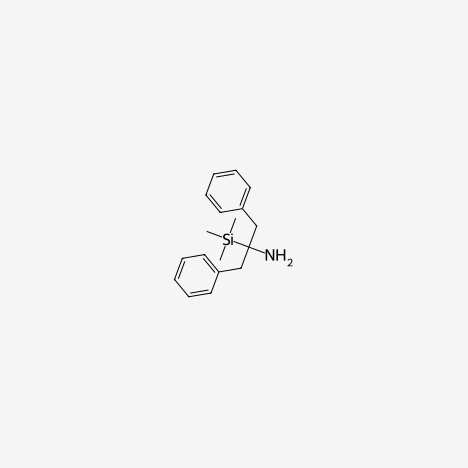 C[Si](C)(C)C(N)(Cc1ccccc1)Cc1ccccc1